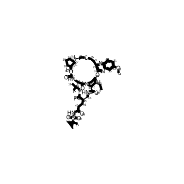 CC[C@@H]1[C@@H]2CN(C(=O)[C@H](C(C)(C)C)NC(=O)O[C@@H]3CCC[C@H]3CCCCCc3nc4ccc(OC)cc4nc3O2)[C@@H]1C(=O)NC[C@@H](CCC(=O)NS(=O)(=O)C1(C)CC1)C(F)F